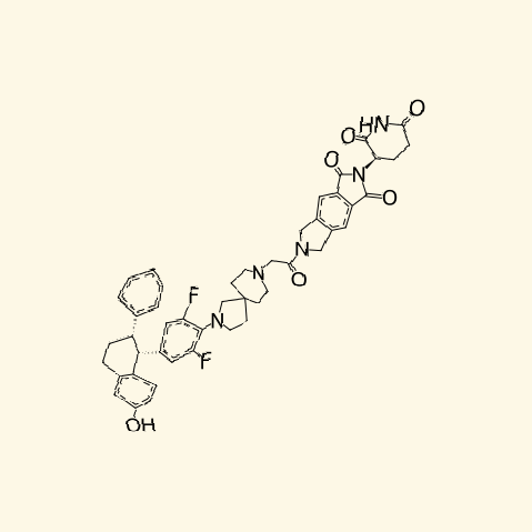 O=C1CC[C@@H](N2C(=O)c3cc4c(cc3C2=O)CN(C(=O)CN2CCC3(CC2)CCN(c2c(F)cc([C@@H]5c6ccc(O)cc6CC[C@@H]5c5ccccc5)cc2F)C3)C4)C(=O)N1